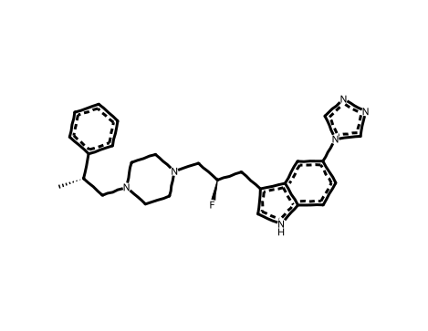 C[C@@H](CN1CCN(C[C@H](F)Cc2c[nH]c3ccc(-n4cnnc4)cc23)CC1)c1ccccc1